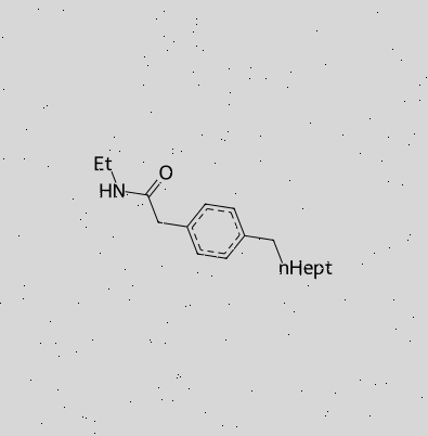 CCCCCCCCc1ccc(CC(=O)NCC)cc1